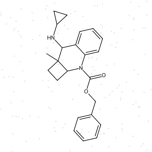 CC12CCC1N(C(=O)OCc1ccccc1)c1ccccc1C2NC1CC1